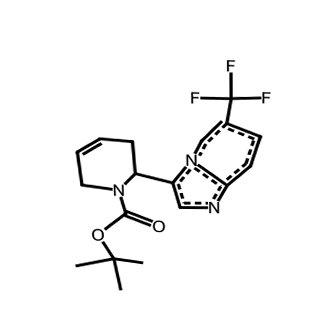 CC(C)(C)OC(=O)N1CC=CCC1c1cnc2ccc(C(F)(F)F)cn12